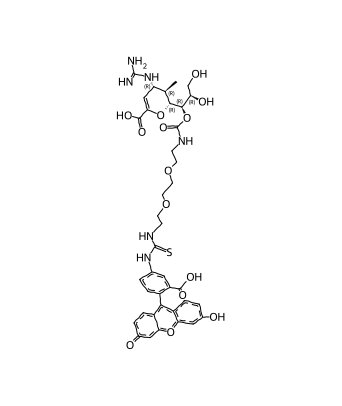 C[C@H]1[C@H]([C@H](OC(=O)NCCOCCOCCNC(=S)Nc2ccc(-c3c4ccc(=O)cc-4oc4cc(O)ccc34)c(C(=O)O)c2)[C@H](O)CO)OC(C(=O)O)=C[C@@H]1NC(=N)N